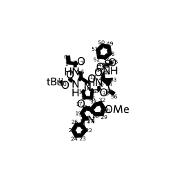 C=CC(=O)NCC(NC(=O)OC(C)(C)C)C(=O)N1C[C@H](Oc2cc(-c3ccccc3)nc3cc(OC)ccc23)C[C@H]1C(=O)N[C@]1(C(=O)NS(=O)(=O)c2ccccc2)C[C@H]1C=C